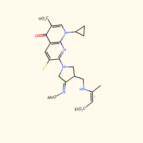 CCOC(=O)/C=C(/C)NCC1CN(c2nc3c(cc2F)c(=O)c(C(=O)O)cn3C2CC2)CC1=NOC